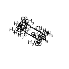 CC1=C(/C=C/C(C)=C/C=C/C(C)=C/C=C/C=C(C)/C=C/C=C(C)/C=C/C2=C(C)C(=O)C(=O)CC2(C)C)C(C)(C)CC(=O)C1=O.CC1=C(/C=C/C(C)=C/C=C/C(C)=C/C=C/C=C(C)/C=C/C=C(C)/C=C/C2=C(C)C(=O)C(=O)CC2(C)C)C(C)(C)CC(=O)C1=O